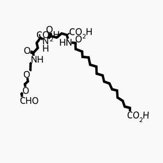 O=CCOCCOCCNC(=O)CC[C@H](NC(=O)CC[C@H](NC(=O)CCCCCCCCCCCCCCCCC(=O)O)C(=O)O)C(=O)O